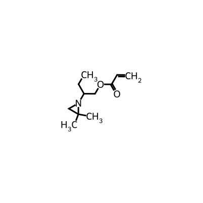 C=CC(=O)OCC(CC)N1CC1(C)C